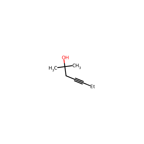 [CH2]CC#CCC(C)(C)O